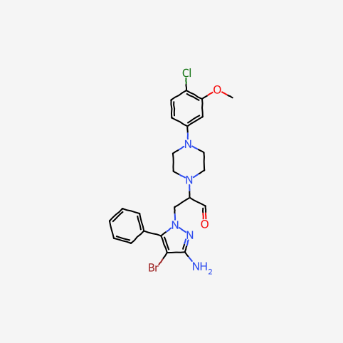 COc1cc(N2CCN(C(C=O)Cn3nc(N)c(Br)c3-c3ccccc3)CC2)ccc1Cl